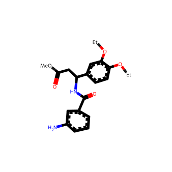 CCOc1ccc(C(CC(=O)OC)NC(=O)c2cccc(N)c2)cc1OCC